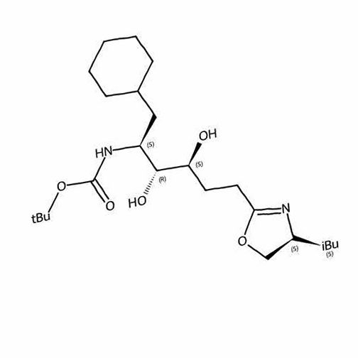 CC[C@H](C)[C@H]1COC(CC[C@H](O)[C@H](O)[C@H](CC2CCCCC2)NC(=O)OC(C)(C)C)=N1